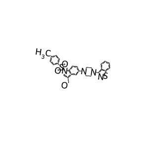 Cc1ccc(S(=O)(=O)n2cc(C=O)c3cc(N4CCN(c5nsc6ccccc56)CC4)ccc32)cc1